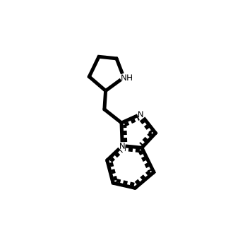 c1ccn2c(CC3CCCN3)ncc2c1